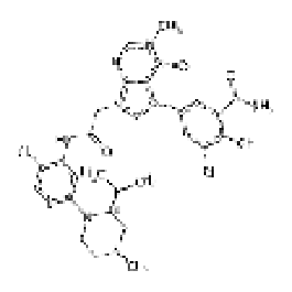 CC(C)[C@H]1CN(C)CCN1c1cc(NC(=O)Cn2cc(-c3cc(Cl)c(O)c(C(N)=O)c3)c3c(=O)n(C)cnc32)c(Cl)cn1